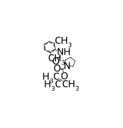 Cc1cccc(C)c1NC(=O)[C@@H]1CCCN1C(=O)OC(C)(C)C